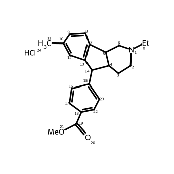 CCN1CCC2C(C1)c1ccc(C)cc1C2c1ccc(C(=O)OC)cc1.Cl